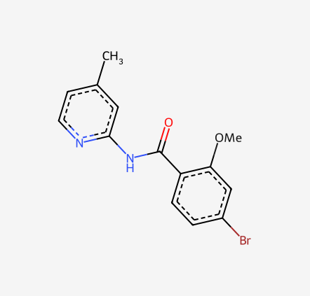 COc1cc(Br)ccc1C(=O)Nc1cc(C)ccn1